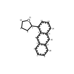 c1ccc2cc3c([C]4CCCO4)cccc3cc2c1